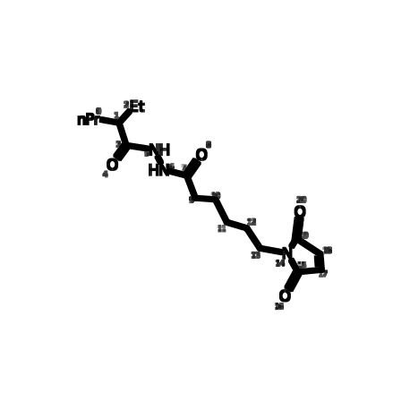 CCCC(CC)C(=O)NNC(=O)CCCCCN1C(=O)C=CC1=O